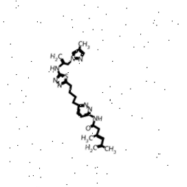 C=C(C)/C=C(\C)CC(=O)Nc1ccc(CCCCc2nnc(NC(=C)Cn3cc(C)cn3)s2)nn1